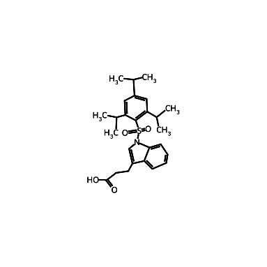 CC(C)c1cc(C(C)C)c(S(=O)(=O)n2cc(CCC(=O)O)c3ccccc32)c(C(C)C)c1